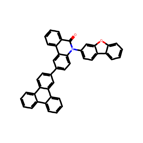 O=c1c2ccccc2c2cc(-c3ccc4c5ccccc5c5ccccc5c4c3)ccc2n1-c1ccc2c(c1)oc1ccccc12